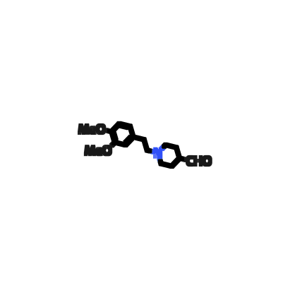 COc1ccc(CCN2CCC(C=O)CC2)cc1OC